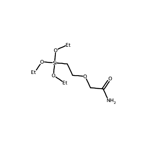 CCO[Si](CCOCC(N)=O)(OCC)OCC